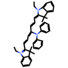 CCN1/C(=C/C=C/C(=C/C=C/C2=[N+](CC)c3ccccc3C2(C)C)N(c2ccccc2)c2ccccc2)C(C)(C)c2ccccc21